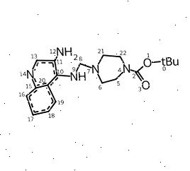 CC(C)(C)OC(=O)N1CCN(CNc2c(N)cnc3ccccc23)CC1